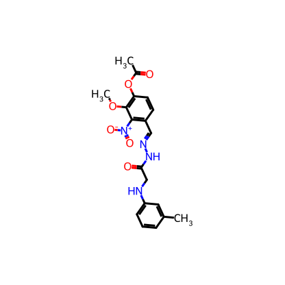 COc1c(OC(C)=O)ccc(/C=N/NC(=O)CNc2cccc(C)c2)c1[N+](=O)[O-]